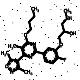 CCCCOc1nc(-c2ccc(F)c(OCC(O)CNC)c2)nc(-c2c(C)noc2C)c1C